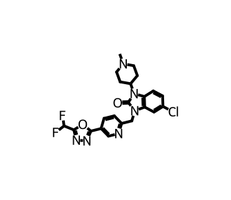 CN1CCC(n2c(=O)n(Cc3ccc(-c4nnc(C(F)F)o4)cn3)c3cc(Cl)ccc32)CC1